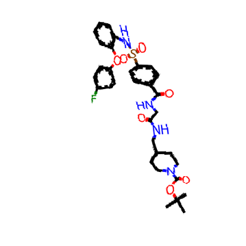 CC(C)(C)OC(=O)N1CCC(CNC(=O)CNC(=O)c2ccc(S(=O)(=O)Nc3ccccc3Oc3ccc(F)cc3)cc2)CC1